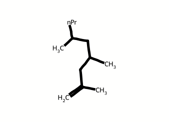 C=C(C)CC(C)CC(C)CCC